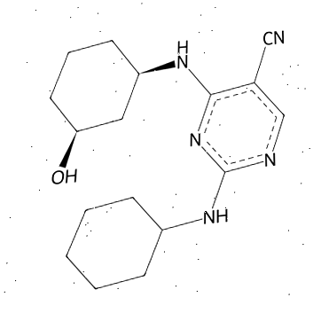 N#Cc1cnc(NC2CCCCC2)nc1N[C@@H]1CCC[C@H](O)C1